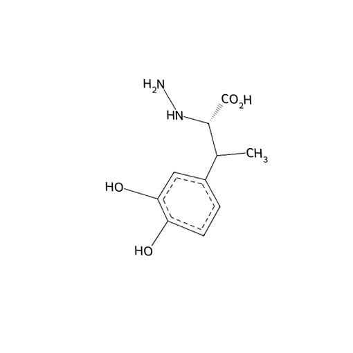 CC(c1ccc(O)c(O)c1)[C@H](NN)C(=O)O